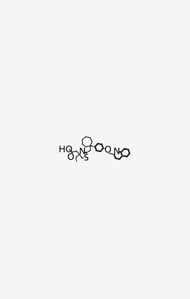 CCC1(CC(=O)O)CSC(CC2(c3ccc(OCc4ccc5ccccc5n4)cc3)CCCCCC2)=N1